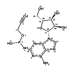 C#CCOP(N)O.Nc1ncnc2c1ncn2[C@@H]1O[C@H](CO)[C@@H](O)[C@H]1O